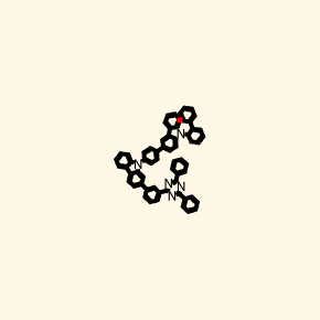 C1=CCC(n2c3ccccc3c3cc(-c4ccc(-n5c6ccccc6c6ccc(-c7cccc(-c8nc(-c9ccccc9)nc(-c9ccccc9)n8)c7)cc65)cc4)ccc32)C(c2ccccc2)=C1